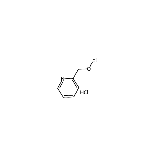 CCOCc1ccccn1.Cl